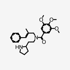 COc1cc(C(=O)N(CCC2CCCN2)CC(C)=Cc2ccccc2)cc(OC)c1OC